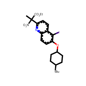 CCOC(=O)C(C)(c1ccc2c(I)c(OC3CCC(C(C)(C)C)CC3)ccc2n1)[N+](=O)[O-]